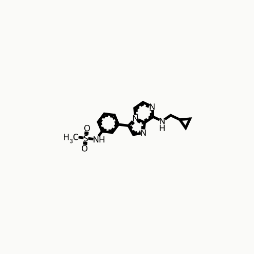 CS(=O)(=O)Nc1cccc(-c2cnc3c(NCC4CC4)nccn23)c1